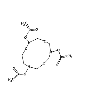 C=P(=O)ON1CCCN(OP(=C)=O)CCCN(OP(=C)=O)CCC1